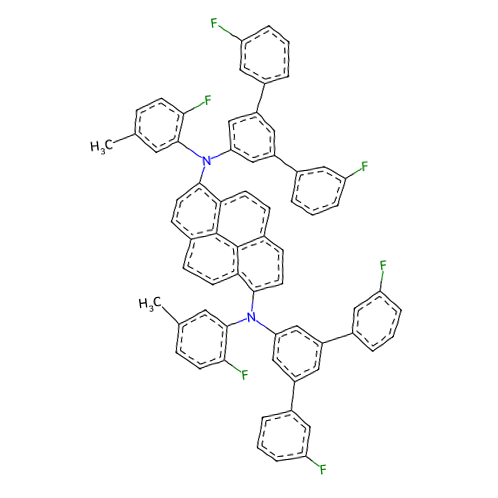 Cc1ccc(F)c(N(c2cc(-c3cccc(F)c3)cc(-c3cccc(F)c3)c2)c2ccc3ccc4c(N(c5cc(-c6cccc(F)c6)cc(-c6cccc(F)c6)c5)c5cc(C)ccc5F)ccc5ccc2c3c54)c1